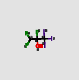 OC(F)(C(F)F)C(I)(I)I